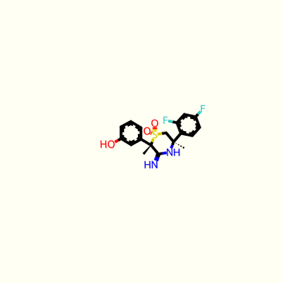 C[C@@]1(c2ccc(F)cc2F)CS(=O)(=O)[C@@](C)(c2cccc(O)c2)C(=N)N1